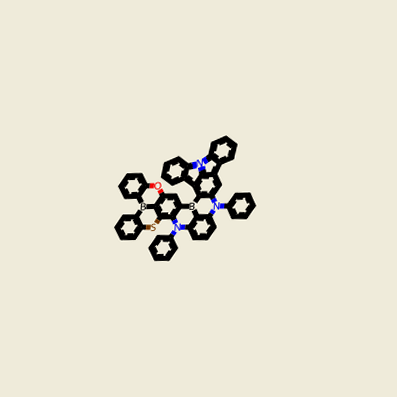 c1ccc(N2c3cccc4c3B(c3cc5c6c(c3N4c3ccccc3)Sc3ccccc3B6c3ccccc3O5)c3c2cc2c4ccccc4n4c5ccccc5c3c24)cc1